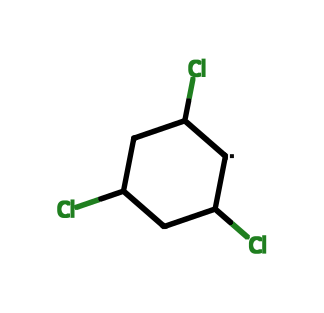 ClC1[CH]C(Cl)CC(Cl)C1